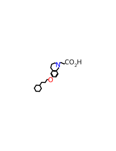 O=C(O)CCN1CCCc2cc(OCCCC3CCCCC3)ccc2C1